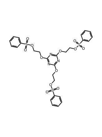 O=S(=O)(OCCOc1nc(OCCOS(=O)(=O)c2ccccc2)nc(OCCOS(=O)(=O)c2ccccc2)n1)c1ccccc1